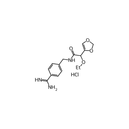 CCOC(C(=O)NCc1ccc(C(=N)N)cc1)C1=COCO1.Cl